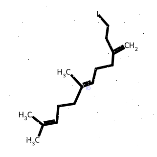 C=C(CCI)CC/C=C(\C)CCC=C(C)C